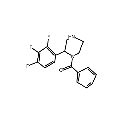 O=C(c1ccccc1)N1CCNCC1c1ccc(F)c(F)c1F